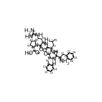 CC(C)C[C@@H](NC(=O)[C@@H](Cc1ccccc1)NC(=O)[C@H](N)Cc1ccccc1)C(=O)N[C@H](CCNC(=N)N)C(=O)N1CCC[C@H]1C(=O)O